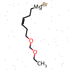 CCOCOCC/C=C\C[CH2][Mg][Br]